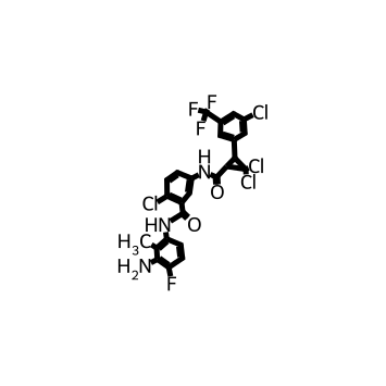 Cc1c(NC(=O)c2cc(NC(=O)C3C(c4cc(Cl)cc(C(F)(F)F)c4)C3(Cl)Cl)ccc2Cl)ccc(F)c1N